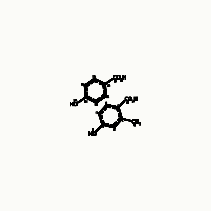 Cc1cc(O)ccc1C(=O)O.O=C(O)c1ccc(O)cc1